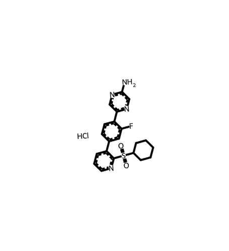 Cl.Nc1cnc(-c2ccc(-c3cccnc3S(=O)(=O)C3CCCCC3)cc2F)cn1